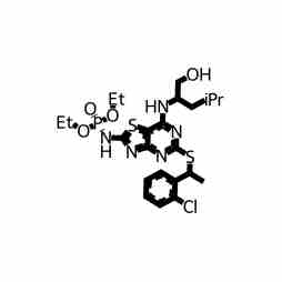 CCOP(=O)(Nc1nc2nc(SC(C)c3ccccc3Cl)nc(NC(CO)CC(C)C)c2s1)OCC